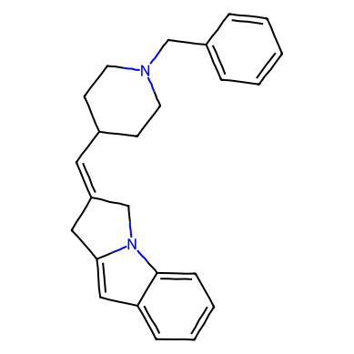 C(=C1Cc2cc3ccccc3n2C1)C1CCN(Cc2ccccc2)CC1